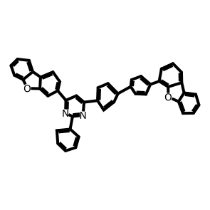 c1ccc(-c2nc(-c3ccc(-c4ccc(-c5cccc6c5oc5ccccc56)cc4)cc3)cc(-c3ccc4c(c3)oc3ccccc34)n2)cc1